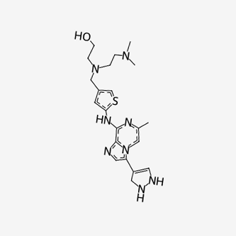 Cc1cn2c(C3=CNNC3)cnc2c(Nc2cc(CN(CCO)CCN(C)C)cs2)n1